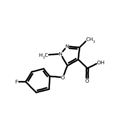 Cc1nn(C)c(Oc2ccc(F)cc2)c1C(=O)O